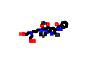 CCc1nc2c(cc1NC(=O)c1ccccc1)c(OC(C)C)c(C(=O)NCCCN(CCO)CCO)n2C